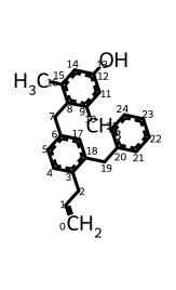 C=CCc1ccc(Cc2c(C)cc(O)cc2C)cc1Cc1ccccc1